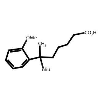 CCCCC(C)(CCCCC(=O)O)c1ccccc1OC